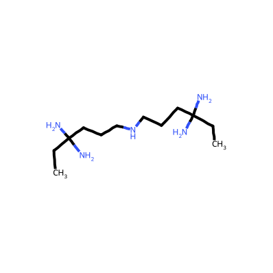 CCC(N)(N)CCCNCCCC(N)(N)CC